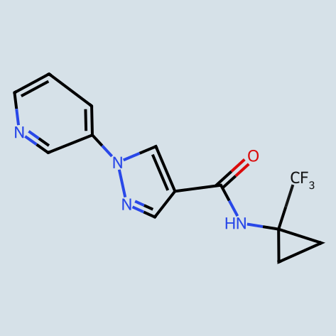 O=C(NC1(C(F)(F)F)CC1)c1cnn(-c2cccnc2)c1